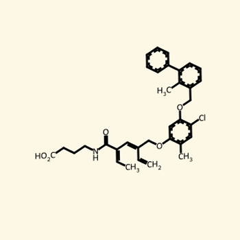 C=C/C(=C\C(=C/C)C(=O)NCCCC(=O)O)COc1cc(OCc2cccc(-c3ccccc3)c2C)c(Cl)cc1C